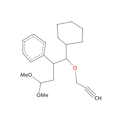 C#CCOC(C1CCCCC1)C(CC(OC)OC)c1ccccc1